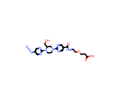 [N-]=[N+]=Nc1cnc(N2CCN(c3ncc(C(=O)NCCOCCC(=O)O)cn3)CC2CO)nc1